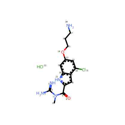 CN(C(=N)N)C(=O)c1cc2c(Cl)cc(OCCCN)cc2[nH]1.Cl